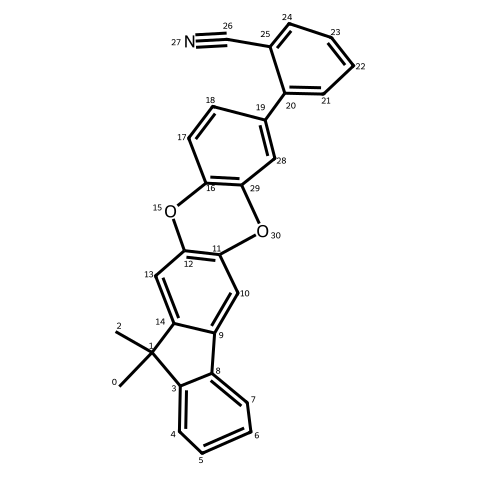 CC1(C)c2ccccc2-c2cc3c(cc21)Oc1ccc(-c2ccccc2C#N)cc1O3